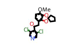 COc1ccc(CC(=O)c2c(Cl)cncc2Cl)c2c1OC1(CCCC1)O2